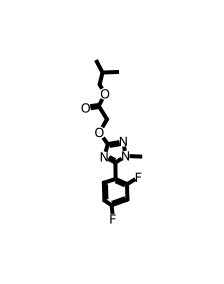 CC(C)COC(=O)COc1nc(-c2ccc(F)cc2F)n(C)n1